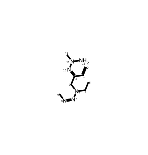 C=C/C(CN(CC)/N=N\C)=N\N(C)N